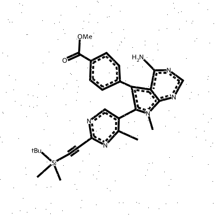 COC(=O)c1ccc(-c2c(-c3cnc(C#C[Si](C)(C)C(C)(C)C)nc3C)n(C)c3ncnc(N)c23)cc1